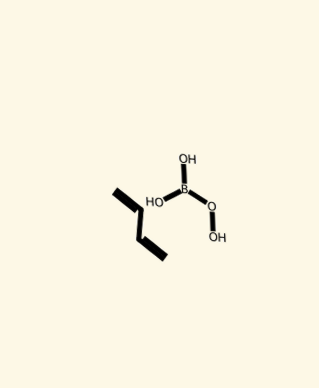 C=CC=C.OOB(O)O